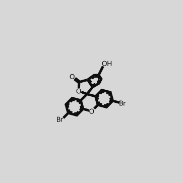 O=C1OC2(c3ccc(Br)cc3Oc3cc(Br)ccc32)c2ccc(O)cc21